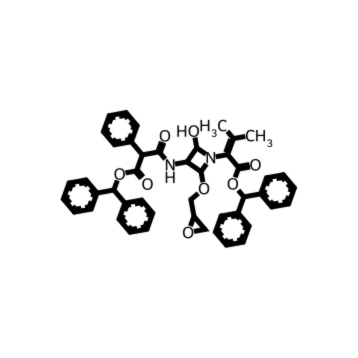 CC(C)=C(C(=O)OC(c1ccccc1)c1ccccc1)N1C(O)C(NC(=O)C(C(=O)OC(c2ccccc2)c2ccccc2)c2ccccc2)C1OCC1CO1